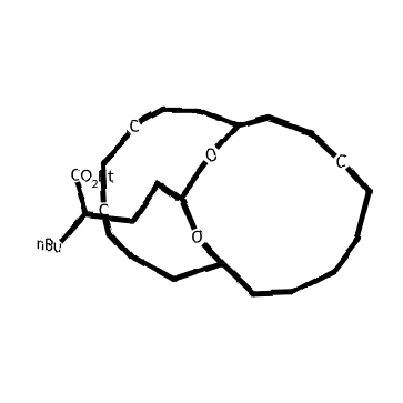 [CH2]CCCC(CC[C]1OC2CCCCCCCCC(CCCCCCCC2)O1)C(=O)OCC